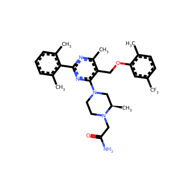 Cc1ccc(C(F)(F)F)cc1OCc1c(C)nc(-c2c(C)cccc2C)nc1N1CCN(CC(N)=O)[C@H](C)C1